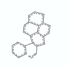 C=Cc1cc2ccc3cccc4ccc(c1-c1ccccc1)c2c34